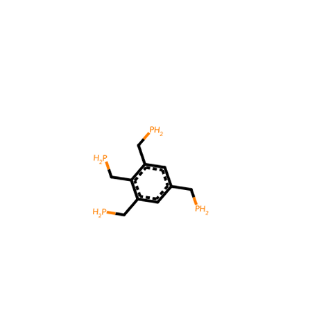 PCc1cc(CP)c(CP)c(CP)c1